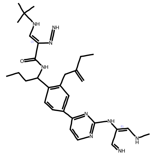 C=C(CC)Cc1cc(-c2ccnc(N/C(C=N)=C/NC)n2)ccc1C(CCC)NC(=O)/C(=C/NC(C)(C)C)N=N